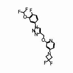 Fc1ccc(-n2cc(COc3cc(N4CC(F)(F)C4)ccn3)nn2)cc1OC(F)F